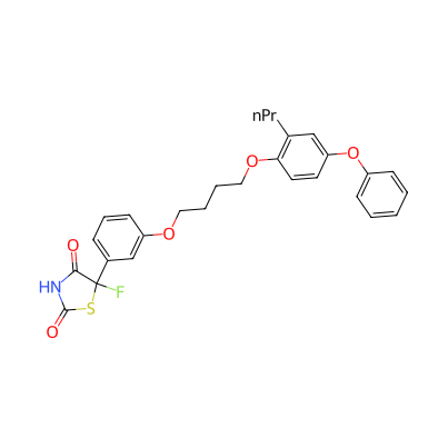 CCCc1cc(Oc2ccccc2)ccc1OCCCCOc1cccc(C2(F)SC(=O)NC2=O)c1